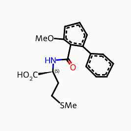 COc1cccc(-c2ccccc2)c1C(=O)N[C@@H](CCSC)C(=O)O